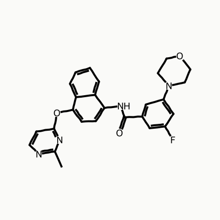 Cc1nccc(Oc2ccc(NC(=O)c3cc(F)cc(N4CCOCC4)c3)c3ccccc23)n1